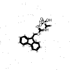 CC(NC(=O)OCC1c2ccccc2-c2ccccc21)P(=O)(O)O